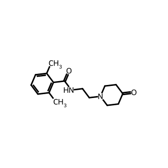 Cc1cccc(C)c1C(=O)NCCN1CCC(=O)CC1